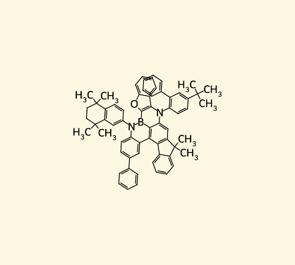 CC(C)(C)c1ccc(N2c3cc4c(c5c3B(c3oc6ccccc6c32)N(c2ccc3c(c2)C(C)(C)CCC3(C)C)c2ccc(-c3ccccc3)cc2-5)-c2ccccc2C4(C)C)c(-c2ccccc2)c1